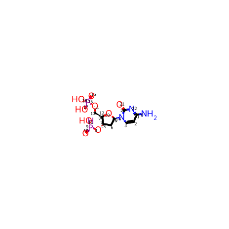 Nc1ccn([C@H]2C[C@H](O[PH](=O)O)[C@@H](COP(=O)(O)O)O2)c(=O)n1